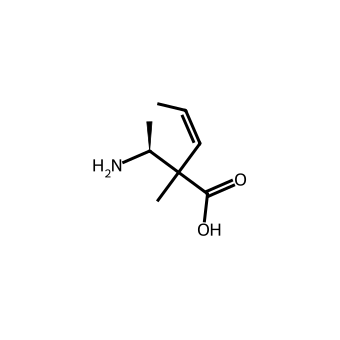 C/C=C\C(C)(C(=O)O)[C@H](C)N